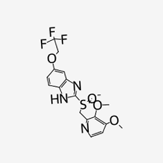 COc1ccnc(C[S+]([O-])c2nc3cc(OCC(F)(F)F)ccc3[nH]2)c1OC